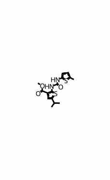 COC(=O)c1cc(C(C)C)sc1NC(=O)Nc1ccc(C)s1